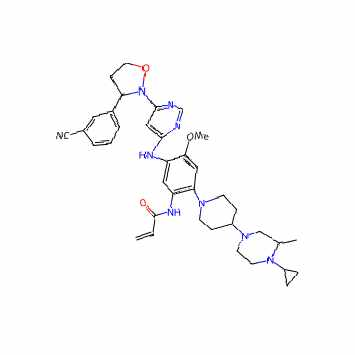 C=CC(=O)Nc1cc(Nc2cc(N3OCCC3c3cccc(C#N)c3)ncn2)c(OC)cc1N1CCC(N2CCN(C3CC3)C(C)C2)CC1